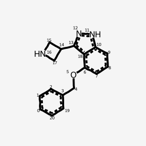 c1ccc(COc2cccc3[nH]nc(C4CNC4)c23)cc1